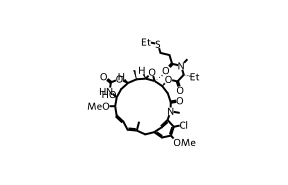 CCSCCC(=O)N(C)[C@H](CC)C(=O)O[C@H]1CC(=O)N(C)c2cc(cc(OC)c2Cl)C/C(C)=C/C=C/C(OC)[C@@]2(O)C[C@H](OC(=O)N2)[C@@H](C)[C@@H]2O[C@@]12C